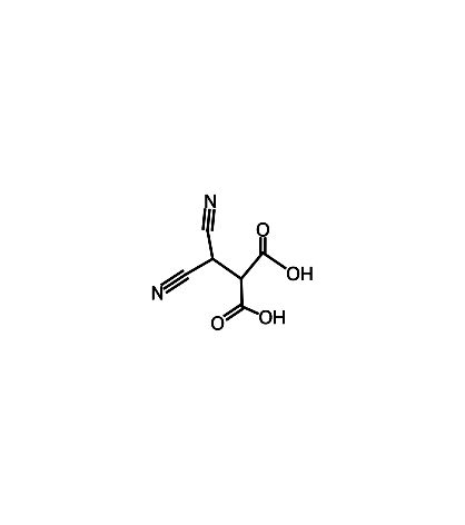 N#CC(C#N)C(C(=O)O)C(=O)O